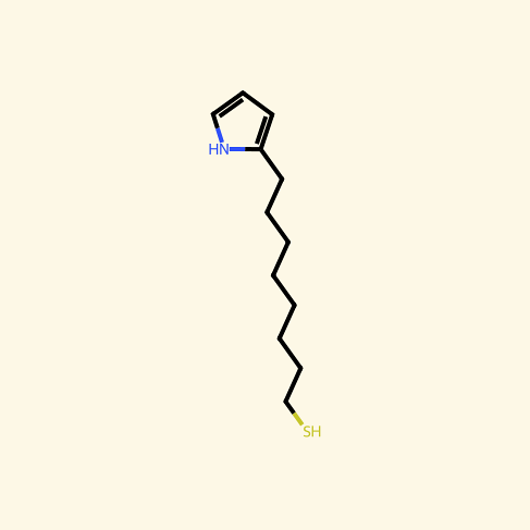 SCCCCCCCCc1ccc[nH]1